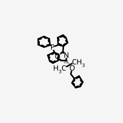 CC(C)(OCc1ccccc1)[C@@H]1COC(c2ccccc2P(c2ccccc2)c2ccccc2)=N1